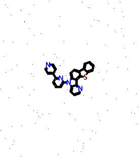 c1cc(-c2ccncc2)nc(-n2c3cccnc3c3c4sc5ccccc5c4ccc32)c1